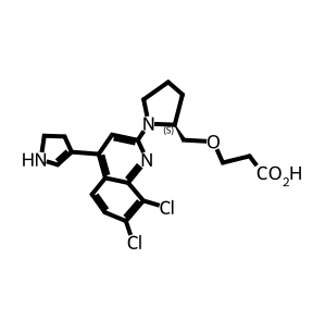 O=C(O)CCOC[C@@H]1CCCN1c1cc(C2=CNCC2)c2ccc(Cl)c(Cl)c2n1